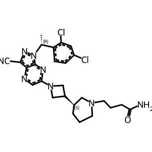 C[C@H](c1ccc(Cl)cc1Cl)n1nc(C#N)c2ncc(N3CC([C@@H]4CCCN(CCCC(N)=O)C4)C3)nc21